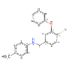 O=C(O)c1ccc(NCc2ccc(F)c(Oc3ccccc3)c2)cc1